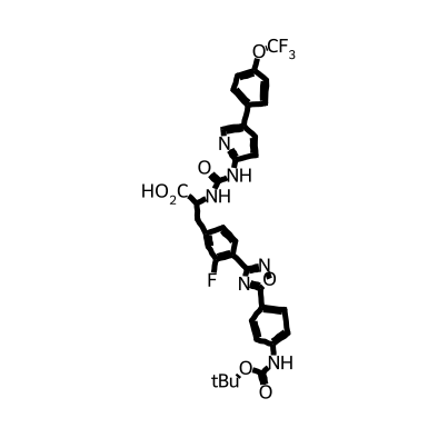 CC(C)(C)OC(=O)Nc1ccc(-c2nc(-c3ccc(CC(NC(=O)Nc4ccc(-c5ccc(OC(F)(F)F)cc5)cn4)C(=O)O)cc3F)no2)cc1